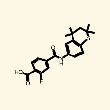 CC1(C)CC(C)(C)c2cc(NC(=O)c3ccc(C(=O)O)c(F)c3)ccc2S1